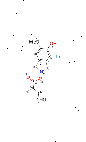 COc1cc2c(c(F)c1O)CN(OC(=O)C(C)CC=O)C2